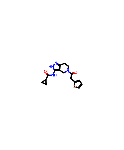 O=C(Nc1[nH]nc2c1CN(C(=O)Cc1cccs1)CC2)C1CC1